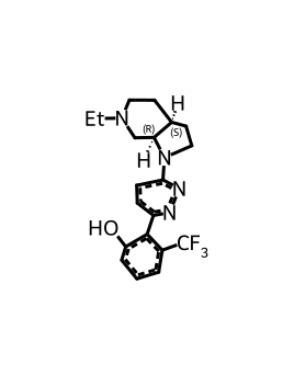 CCN1CC[C@H]2CCN(c3ccc(-c4c(O)cccc4C(F)(F)F)nn3)[C@H]2C1